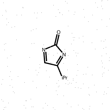 CC(C)C1=NC(=O)N=C1